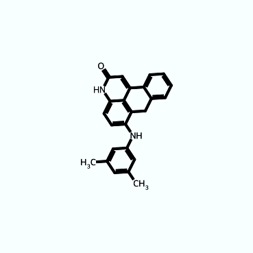 Cc1cc(C)cc(Nc2ccc3[nH]c(=O)cc4c3c2Cc2ccccc2-4)c1